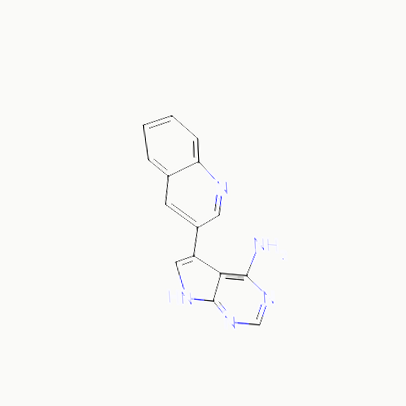 Nc1ncnc2[nH]cc(-c3cnc4ccccc4c3)c12